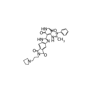 C[C@H](Nc1cc[nH]c(=O)c1-c1nc2cc3c(cc2[nH]1)C(=O)N(CCCN1CCCC1)C3=O)[C@@H](O)c1ccccc1